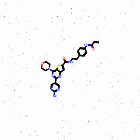 C=CC(=O)Nc1ccc(CCNC(=O)c2cc3nc(-c4cnc(N)nc4)nc(N4CCOCC4)c3s2)cc1